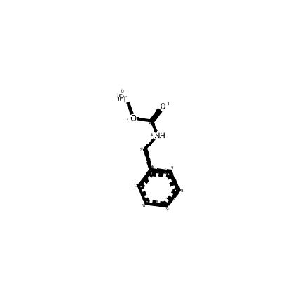 CC(C)OC(=O)NCc1ccccc1